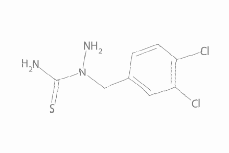 NC(=S)N(N)Cc1ccc(Cl)c(Cl)c1